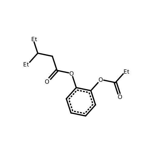 CCC(=O)Oc1ccccc1OC(=O)CC(CC)CC